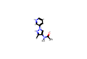 CCN(C(=O)C(C)C)c1cn(-c2cccnc2)nc1C